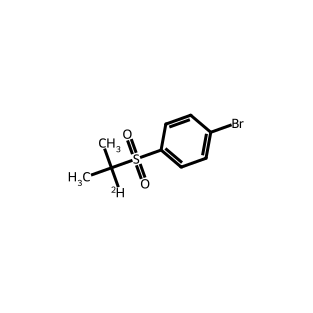 [2H]C(C)(C)S(=O)(=O)c1ccc(Br)cc1